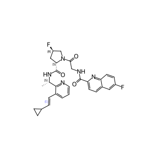 C[C@H](NC(=O)[C@@H]1C[C@@H](F)CN1C(=O)CNC(=O)c1ccc2cc(F)ccc2n1)c1ncccc1/C=C/C1CC1